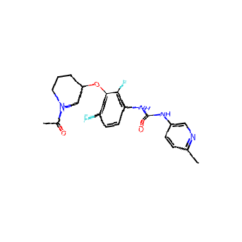 CC(=O)N1CCCC(Oc2c(F)ccc(NC(=O)Nc3ccc(C)nc3)c2F)C1